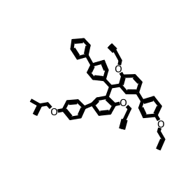 C#CCOc1ccc(-c2ccc(OCC=C)cc2)cc1C(c1ccc(-c2ccccc2)cc1)c1cc(-c2ccc(OCC(=C)C)cc2)ccc1OCC#C